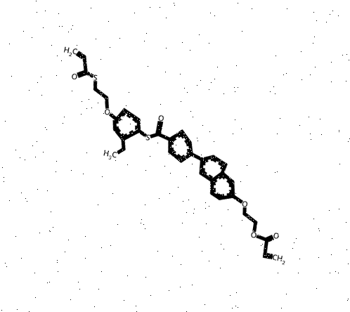 C=CC(=O)OCCOc1ccc2cc(-c3ccc(C(=O)Sc4ccc(OCCSC(=O)C=C)cc4CC)cc3)ccc2c1